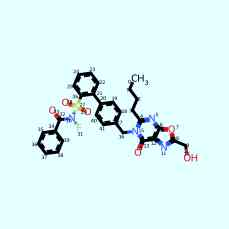 CCCCc1nc2oc(CO)nc2c(=O)n1Cc1ccc(-c2ccccc2S(=O)(=O)N(F)C(=O)c2ccccc2)cc1